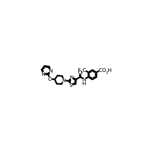 O=C(O)c1ccc(NC(=O)c2csc(N3CCC(Oc4ncccn4)CC3)n2)c(C(F)(F)F)c1